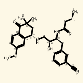 COCC(=O)N[C@@H](Cc1cccc(C#N)c1)[C@@H](O)CN[C@H]1CC(C)(C)C(=O)c2ccc(OC)cc21